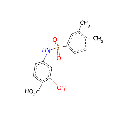 Cc1ccc(S(=O)(=O)Nc2ccc(C(=O)O)c(O)c2)cc1C